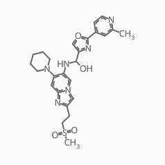 Cc1cc(-c2nc(C(O)Nc3cn4cc(CCS(C)(=O)=O)nc4cc3N3CCCCC3)co2)ccn1